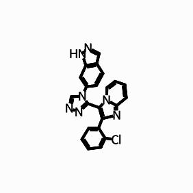 Clc1ccccc1-c1nc2ccccn2c1-c1nncn1-c1ccc2cn[nH]c2c1